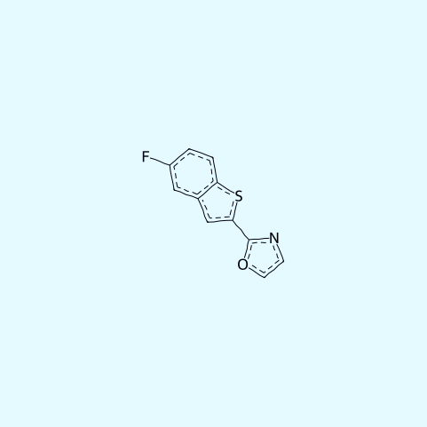 Fc1ccc2sc(-c3ncco3)cc2c1